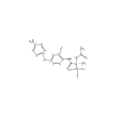 CC(=O)O[C@](C)(C(=O)Nc1ccc(Sc2ccc(N)cc2)cc1F)C(F)(F)F